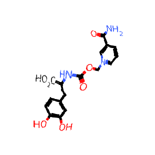 NC(=O)c1ccc[n+](COC(=O)NC(Cc2ccc(O)c(O)c2)C(=O)O)c1